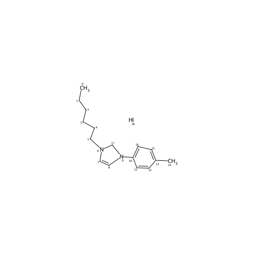 CCCCCCN1C=CN(c2ccc(C)cc2)C1.I